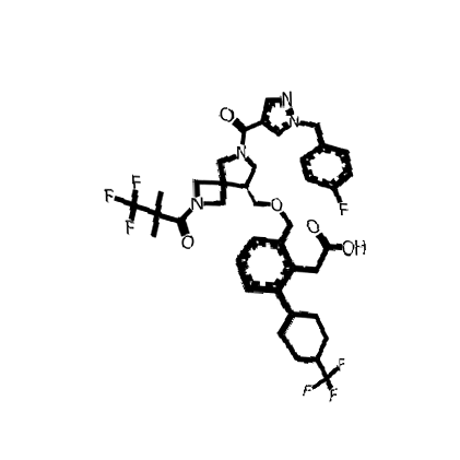 CC(C)(C(=O)N1CC2(CN(C(=O)c3cnn(Cc4ccc(F)cc4)c3)C[C@H]2COCc2cccc(C3CCC(C(F)(F)F)CC3)c2CC(=O)O)C1)C(F)(F)F